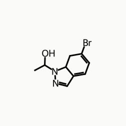 CC(O)N1N=CC2=CC=C(Br)CC21